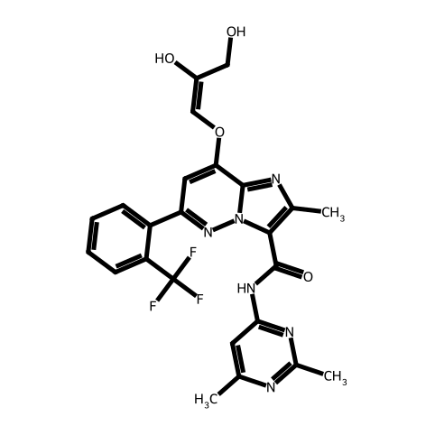 Cc1cc(NC(=O)c2c(C)nc3c(O/C=C(/O)CO)cc(-c4ccccc4C(F)(F)F)nn23)nc(C)n1